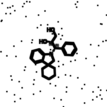 OC[C@@H](O)[C@H](c1ccccc1)N1CC2(CCCCC2)c2ccccc21